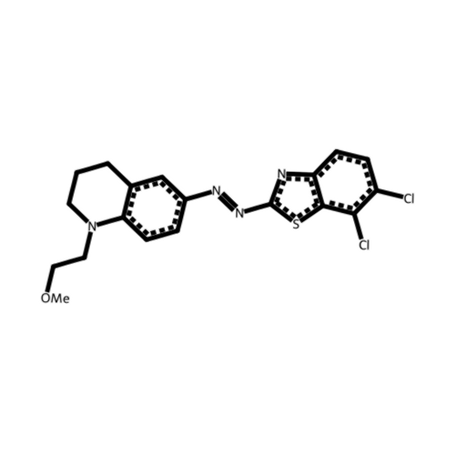 COCCN1CCCc2cc(N=Nc3nc4ccc(Cl)c(Cl)c4s3)ccc21